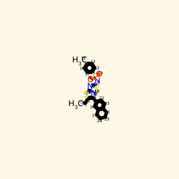 CCc1sc2n/c(=N\S(=O)(=O)c3ccc(C)cc3)sn2c1-c1ccc2c(c1)CCCC2